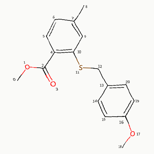 COC(=O)c1ccc(C)cc1SCc1ccc(OC)cc1